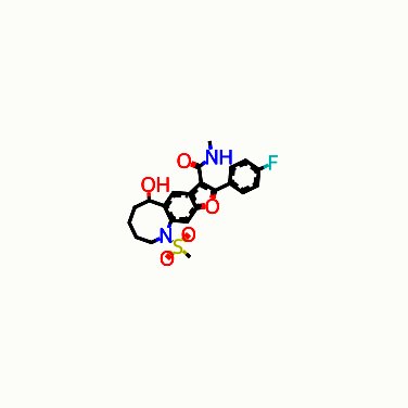 CNC(=O)c1c(-c2ccc(F)cc2)oc2cc3c(cc12)C(O)CCCCN3S(C)(=O)=O